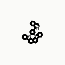 c1ccc2c(-c3ccc(-n4c5ccccc5c5ccc6ccc7c8ccccc8sc7c6c54)cc3)nccc2c1